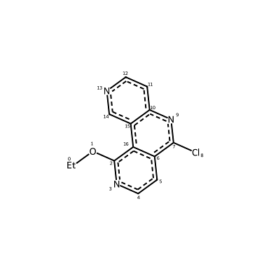 CCOc1nccc2c(Cl)nc3ccncc3c12